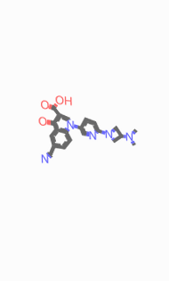 CN(C)C1CN(c2ccc(-n3cc(C(=O)O)c(=O)c4cc(C#N)ccc43)cn2)C1